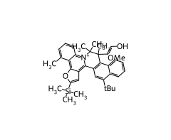 CO/C(=C\O)C1(C)c2c(cc(C(C)(C)C)c3ccccc23)-c2c3cc([Si](C)(C)C)oc3c3c(C)cccc3[n+]2C1(C)C